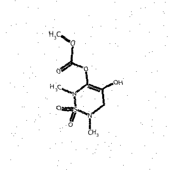 COC(=O)OC1=C(O)CN(C)S(=O)(=O)N1C